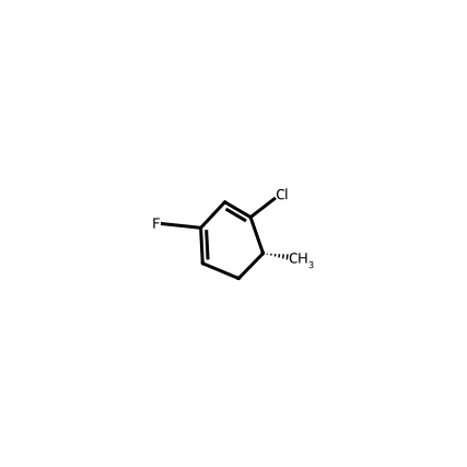 C[C@@H]1CC=C(F)C=C1Cl